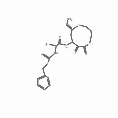 CC(C)C(NC(=O)OCc1ccccc1)C(=O)NC1C/C(=C/N)OCCCNC(=O)C1=O